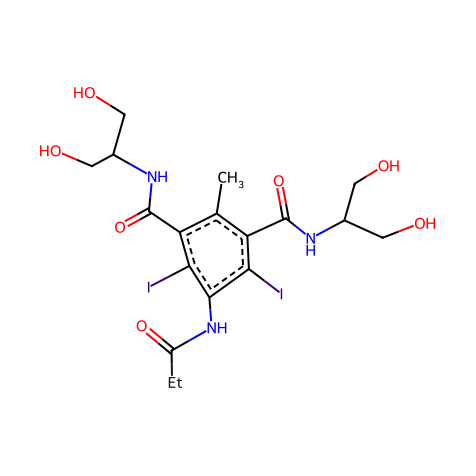 CCC(=O)Nc1c(I)c(C(=O)NC(CO)CO)c(C)c(C(=O)NC(CO)CO)c1I